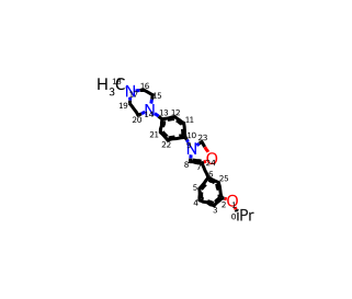 CC(C)Oc1cccc(C2=CN(c3ccc(N4CCN(C)CC4)cc3)CO2)c1